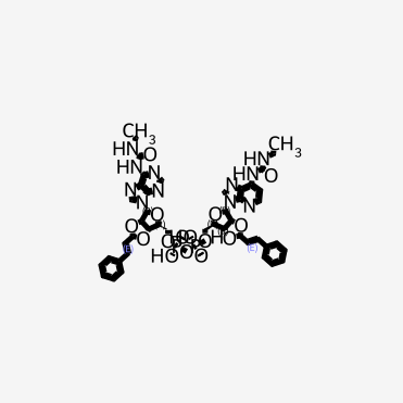 CCNC(=O)Nc1ncnc2c1ncn2[C@@H]1O[C@H](COP(=O)(O)OP(=O)(O)OC[C@H]2O[C@@H](n3cnc4c(NC(=O)NCC)ccnc43)C3OC(/C=C/c4ccccc4)O[C@H]32)C2OC(/C=C/c3ccccc3)OC21